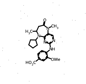 COc1cc(C(=O)O)ccc1Nc1ncc2c(n1)N(C1CCCC1)C(C)CC(=O)N2C